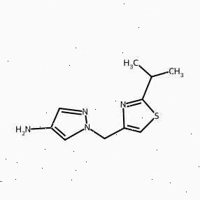 CC(C)c1nc(Cn2cc(N)cn2)cs1